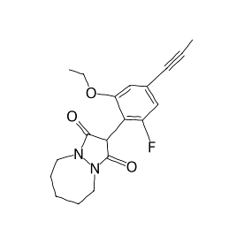 CC#Cc1cc(F)c(C2C(=O)N3CCCCCN3C2=O)c(OCC)c1